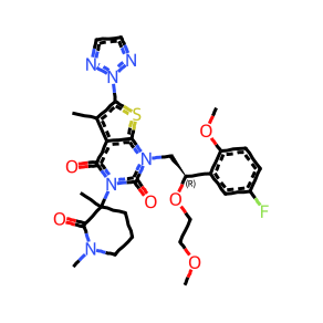 COCCO[C@@H](Cn1c(=O)n(C2(C)CCCN(C)C2=O)c(=O)c2c(C)c(-n3nccn3)sc21)c1cc(F)ccc1OC